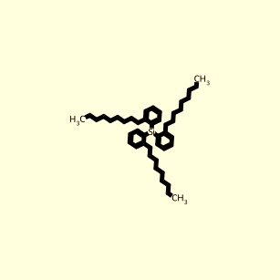 CCCCCCCCCc1ccccc1[Si](c1ccccc1CCCCCCCCC)c1ccccc1CCCCCCCCC